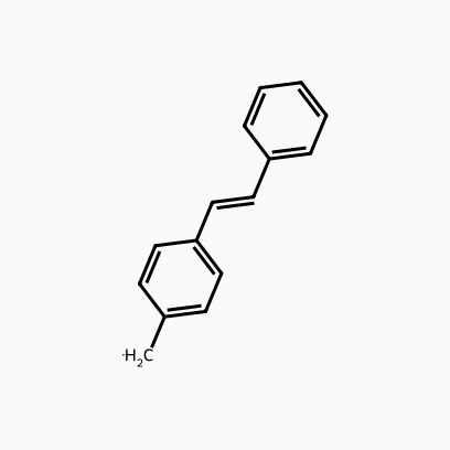 [CH2]c1ccc(C=Cc2ccccc2)cc1